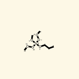 CCCO[Si](OC)(OOC)OOC